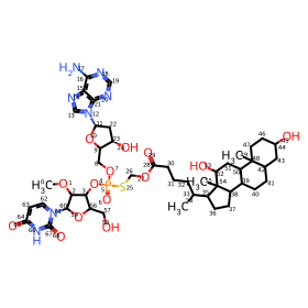 COC1C(OP(=O)(OCC2O[C@@H](n3cnc4c(N)ncnc43)C[C@H]2O)SCOC(=O)CCCC(C)C2CCC3C4CCC5CC(O)CCC5(C)C4CC(O)C23C)C(CO)OC1n1ccc(=O)[nH]c1=O